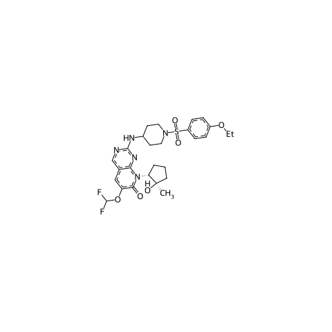 CCOc1ccc(S(=O)(=O)N2CCC(Nc3ncc4cc(OC(F)F)c(=O)n([C@@H]5CCC[C@@]5(C)O)c4n3)CC2)cc1